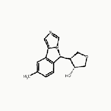 Cc1ccc2c(c1)-c1cncn1[C@H]2[C@H]1COC[C@@H]1O